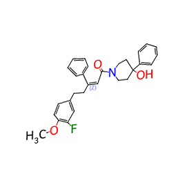 COc1ccc(CC/C(=C/C(=O)N2CCC(O)(c3ccccc3)CC2)c2ccccc2)cc1F